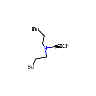 C#CN(CCC(C)CC)CCC(C)CC